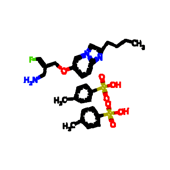 CCCCc1cn2cc(OC/C(=C/F)CN)ccc2n1.Cc1ccc(S(=O)(=O)O)cc1.Cc1ccc(S(=O)(=O)O)cc1